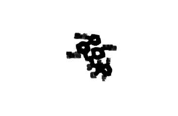 CNC1CCC(N(Cc2cc(-c3ccccc3SC)ccc2OC)C(=O)c2sc3c(F)ccc(F)c3c2Cl)CC1